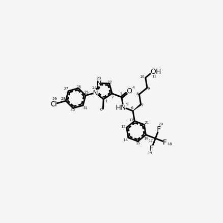 Cc1c(C(=O)N[C@@H](CCCCO)c2cccc(C(F)(F)F)c2)cnn1-c1ccc(Cl)cc1